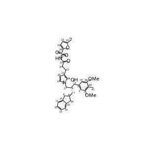 COc1cc([C@@H](O)[C@H](CC2Cc3ccccc3C2)Cn2ccc(CCC(=O)NS(=O)(=O)c3ccc(C)o3)c2)cc(OC)c1C